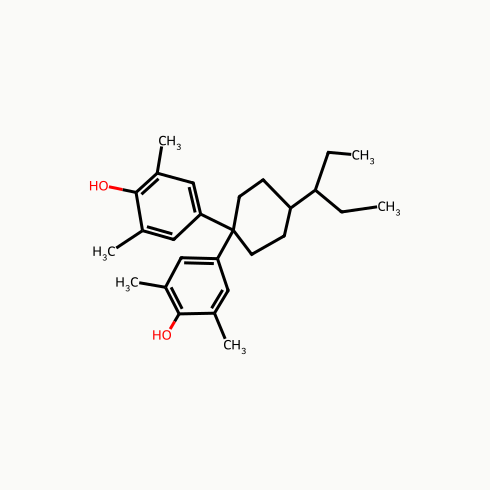 CCC(CC)C1CCC(c2cc(C)c(O)c(C)c2)(c2cc(C)c(O)c(C)c2)CC1